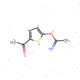 CC(=N)Oc1ccc(C(C)=O)s1